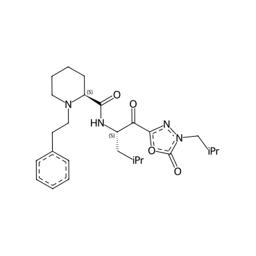 CC(C)C[C@H](NC(=O)[C@@H]1CCCCN1CCc1ccccc1)C(=O)c1nn(CC(C)C)c(=O)o1